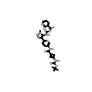 C[C@@H](OC(=O)Nc1c(-c2ccc(NC(=O)C34CC(NC(=O)OC(C)(C)C)(C3)C4)cn2)nnn1C)c1cccnc1Cl